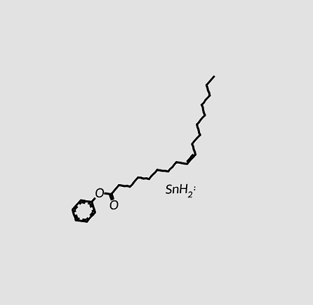 CCCCCCCC/C=C\CCCCCCCC(=O)Oc1ccccc1.[SnH2]